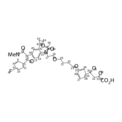 CNC(=O)c1c(-c2ccc(F)cc2)oc2cc(N(CCOCCCCOc3cccc(C(=O)CC(=O)C(=O)O)c3)S(C)(=O)=O)c(C3CC3)cc12